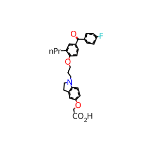 CCCc1cc(C(=O)c2ccc(F)cc2)ccc1OCCCN1CCc2cc(OCC(=O)O)ccc21